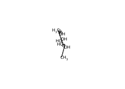 CCCCCCCCCCCC[C@@H](O)[C@H]1CC[C@H]([C@H](O)CCC[C@@H](O)[C@@H](O)CCCCC[C@@H](O)CC2=C[C@H](C)OC2=O)O1